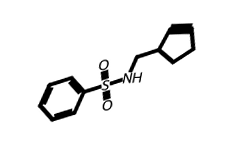 O=S(=O)(NCC1C#CCC1)c1ccccc1